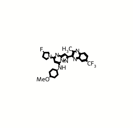 CO[C@H]1CC[C@H](Nc2cc(N3CC[C@@H](F)C3)nc3cc(-c4nc5cc(C(F)(F)F)ccc5nc4C)nn23)CC1